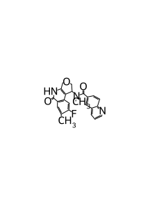 Cc1cc2c(=O)[nH]c3c(c2cc1F)C(N(C)C(=O)c1ccc2ncccc2c1)COC3